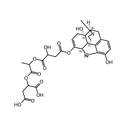 CC(OC(=O)C(O)CC(=O)OC1=CC[C@@]2(O)[C@H]3Cc4ccc(O)c5c4[C@@]2(CCN3C)[C@H]1O5)C(=O)OC(CC(=O)O)C(=O)O